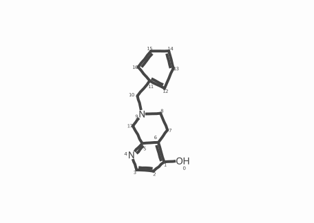 Oc1ccnc2c1CCN(Cc1ccccc1)C2